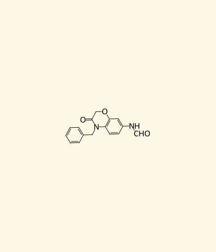 O=CNc1ccc2c(c1)OCC(=O)N2Cc1ccccc1